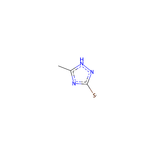 Cc1nc([S])n[nH]1